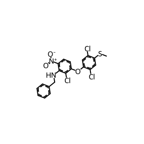 CSc1cc(Cl)c(Oc2ccc([N+](=O)[O-])c(NCc3ccccc3)c2Cl)cc1Cl